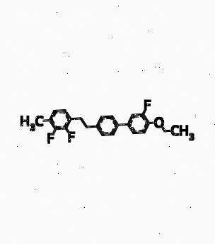 CCOc1ccc(-c2ccc(CCc3ccc(C)c(F)c3F)cc2)cc1F